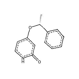 C[C@@H](Oc1cc[nH]c(=O)c1)c1ccccc1